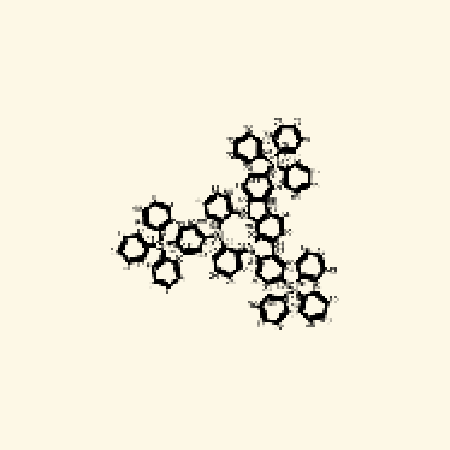 c1ccc([Si](c2ccccc2)(c2ccccc2)c2ccc(-n3c4ccccc4n4c5ccc([Si](c6ccccc6)(c6ccccc6)c6ccccc6)cc5c5ccc6c7cc([Si](c8ccccc8)(c8ccccc8)c8ccccc8)ccc7n(c7ccccc73)c6c54)cc2)cc1